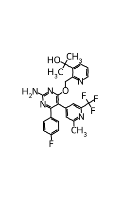 Cc1cc(-c2c(OCc3ncccc3C(C)(C)O)nc(N)nc2-c2ccc(F)cc2)cc(C(F)(F)F)n1